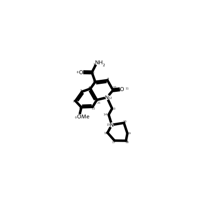 COc1ccc2c(C(N)=O)cc(=O)n(CCN3CC[CH]CC3)c2c1